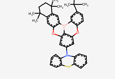 CC(C)(C)c1ccc2c(c1)B1c3cc4c(cc3Oc3cc(N5c6ccccc6Sc6ccccc65)cc(c31)O2)C(C)(C)CCC4(C)C